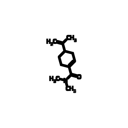 C=C(C)C1CC=C(C(=O)N(C)C)CC1